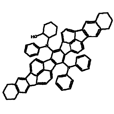 OC1CCCCC1N(c1ccccc1)c1c2c3ccc4c5c(ccc(c2c(N(c2ccccc2)c2ccccc2)c2c6ccc7c8c(ccc(c12)c86)-c1cc2c(cc1-7)CCCC2)c53)-c1cc2c(cc1-4)CCCC2